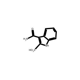 NC(=O)c1c(S(=O)(=O)O)[nH]c2ccccc12